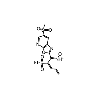 C=C/C=C(\C(=[NH+]\[O-])c1nc2cc(S(C)(=O)=O)cnc2o1)S(=O)(=O)CC